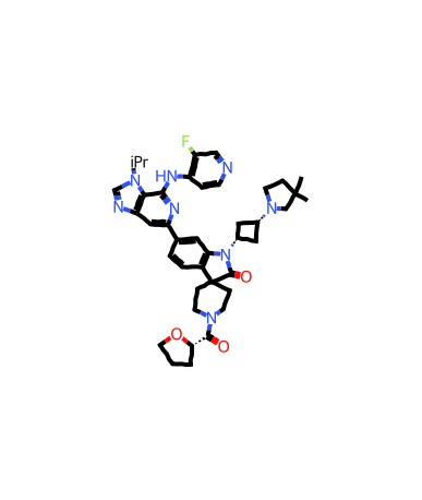 CC(C)n1cnc2cc(-c3ccc4c(c3)N([C@H]3C[C@@H](N5CCC(C)(C)C5)C3)C(=O)C43CCN(C(=O)[C@@H]4CCCO4)CC3)nc(Nc3ccncc3F)c21